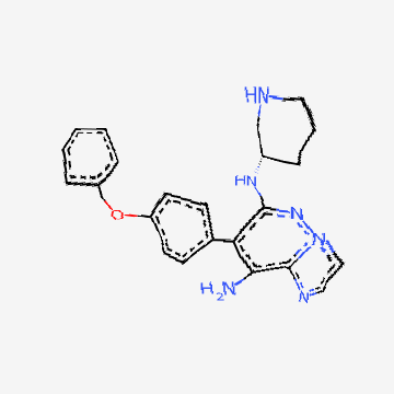 Nc1c(-c2ccc(Oc3ccccc3)cc2)c(N[C@H]2CCCNC2)nn2ccnc12